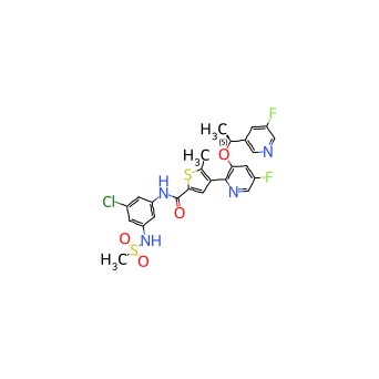 Cc1sc(C(=O)Nc2cc(Cl)cc(NS(C)(=O)=O)c2)cc1-c1ncc(F)cc1O[C@@H](C)c1cncc(F)c1